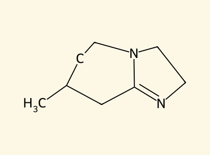 CC1CCN2CCN=C2C1